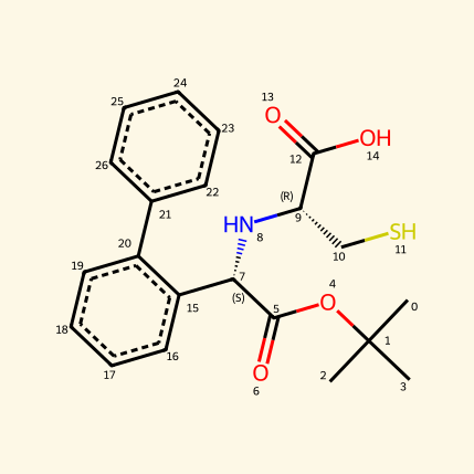 CC(C)(C)OC(=O)[C@@H](N[C@@H](CS)C(=O)O)c1ccccc1-c1ccccc1